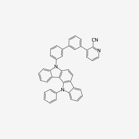 N#Cc1ncccc1-c1cccc(-c2cccc(-n3c4ccccc4c4c3ccc3c5ccccc5n(-c5ccccc5)c34)c2)c1